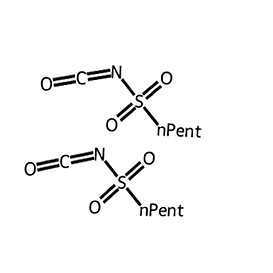 CCCCCS(=O)(=O)N=C=O.CCCCCS(=O)(=O)N=C=O